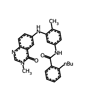 CCCCc1ccccc1C(=O)Nc1ccc(C)c(Nc2ccc3ncn(C)c(=O)c3c2)c1